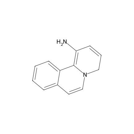 NC1=C2c3ccccc3C=CN2CC=C1